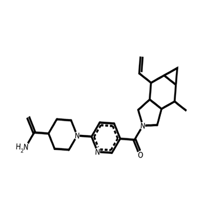 C=CC1C2CC2C(C)C2CN(C(=O)c3ccc(N4CCC(C(=C)N)CC4)nc3)CC12